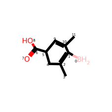 BC1=C(C)CC(C(=O)O)C=C1C